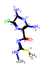 CN/C(=N/C(=O)c1nc(Cl)c(N)nc1N)SC